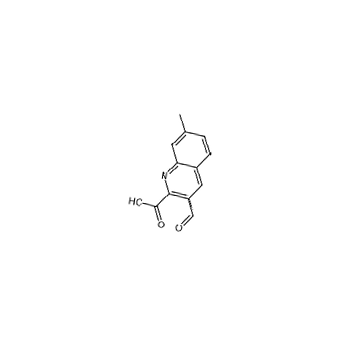 Cc1ccc2cc(C=O)c(C(=O)O)nc2c1